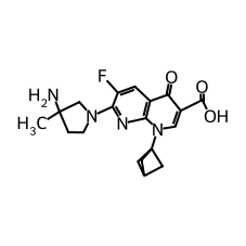 CC1(N)CCN(c2nc3c(cc2F)c(=O)c(C(=O)O)cn3C23CC(C2)C3)C1